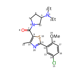 CCN(CC)C1CCN(C(=O)c2sc(-c3cc(Cl)ccc3OC)nc2C)C1